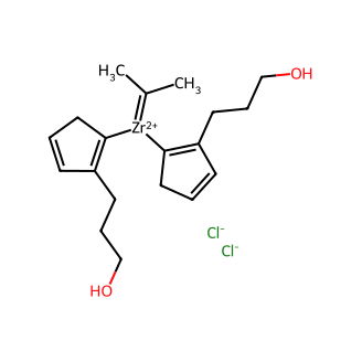 C[C](C)=[Zr+2]([C]1=C(CCCO)C=CC1)[C]1=C(CCCO)C=CC1.[Cl-].[Cl-]